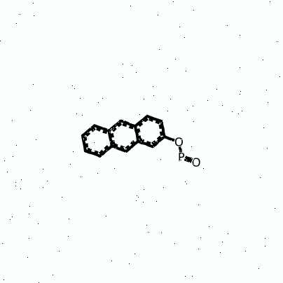 O=POc1ccc2cc3ccccc3cc2c1